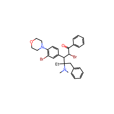 CCC(Cc1ccccc1)(C(c1ccc(N2CCOCC2)c(Br)c1)C(Br)C(=O)c1ccccc1)N(C)C